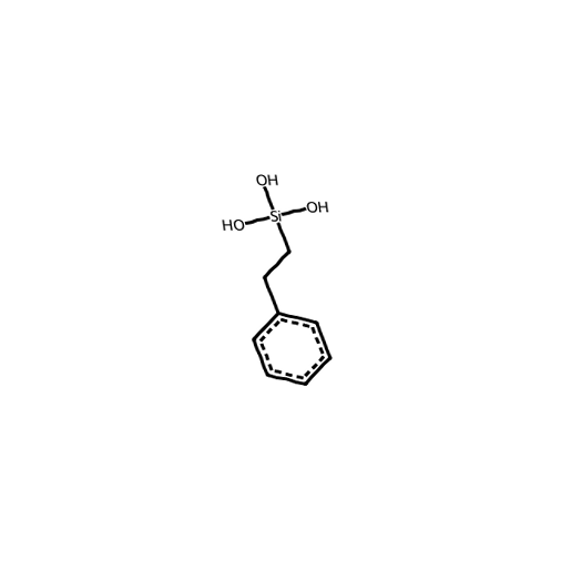 O[Si](O)(O)CCc1ccccc1